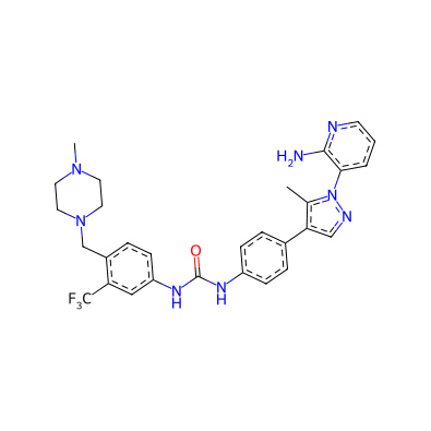 Cc1c(-c2ccc(NC(=O)Nc3ccc(CN4CCN(C)CC4)c(C(F)(F)F)c3)cc2)cnn1-c1cccnc1N